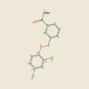 COC(=O)c1cccc(COc2ccc(Cl)cc2Cl)c1